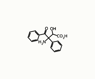 NC(C(=O)c1ccccc1)(c1ccccc1)C(O)C(=O)O